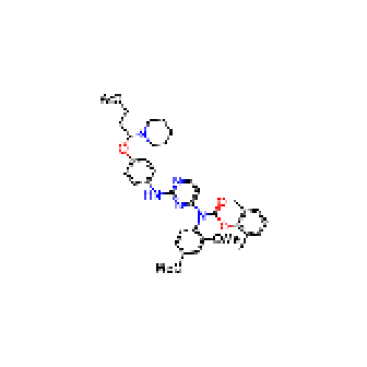 COc1ccc(N(C(=O)Oc2c(C)cccc2C)c2ccnc(Nc3ccc(OC(CCOC(C)=O)N4CCCCC4)cc3)n2)c(OC)c1